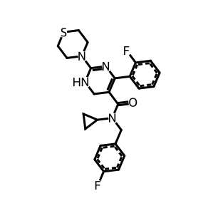 O=C(C1=C(c2ccccc2F)N=C(N2CCSCC2)NC1)N(Cc1ccc(F)cc1)C1CC1